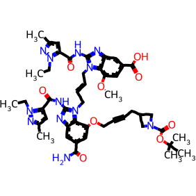 CCn1nc(C)cc1C(=O)Nc1nc2cc(C(=O)O)cc(OC)c2n1C/C=C/Cn1c(NC(=O)c2cc(C)nn2CC)nc2cc(C(N)=O)cc(OCC#CCC3CN(C(=O)OC(C)(C)C)C3)c21